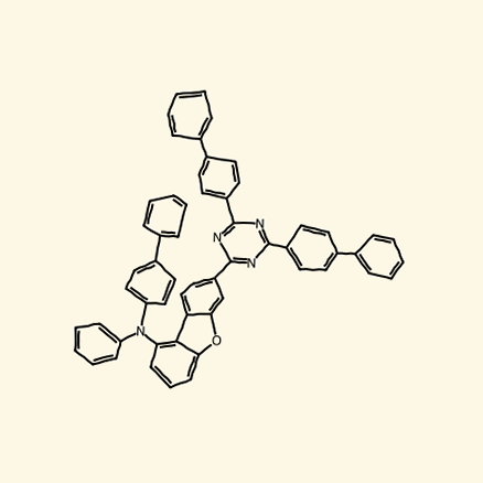 c1ccc(-c2ccc(-c3nc(-c4ccc(-c5ccccc5)cc4)nc(-c4ccc5c(c4)oc4cccc(N(c6ccccc6)c6ccc(-c7ccccc7)cc6)c45)n3)cc2)cc1